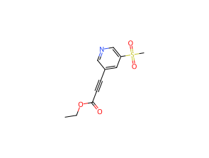 CCOC(=O)C#Cc1cncc(S(C)(=O)=O)c1